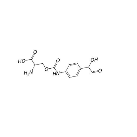 NC(COC(=O)Nc1ccc(C(O)[C]=O)cc1)C(=O)O